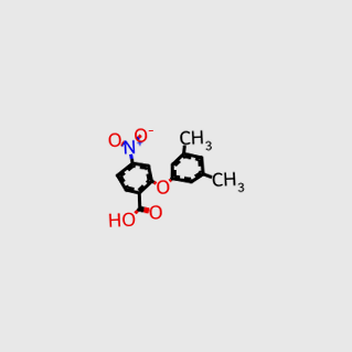 Cc1cc(C)cc(Oc2cc([N+](=O)[O-])ccc2C(=O)O)c1